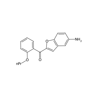 CCCOc1ccccc1C(=O)c1cc2cc(N)ccc2o1